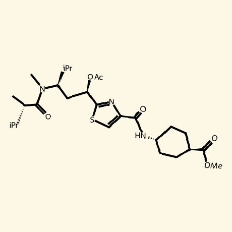 COC(=O)[C@H]1CC[C@H](NC(=O)c2csc([C@@H](C[C@H](C(C)C)N(C)C(=O)[C@@H](C)C(C)C)OC(C)=O)n2)CC1